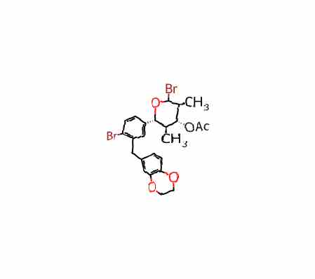 CC(=O)O[C@@H]1[C@@H](C)[C@H](c2ccc(Br)c(Cc3ccc4c(c3)OCCO4)c2)OC(Br)[C@H]1C